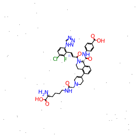 N[C@@H](CCCCNC(=O)CN1CC=C(c2cccc3c2CCN(C(=O)/C=C/c2c(-n4cnnn4)ccc(Cl)c2F)[C@@H]3C(=O)Nc2ccc(C(=O)O)cc2)CC1)C(=O)O